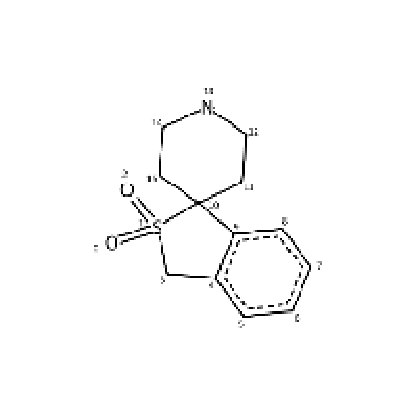 O=S1(=O)Cc2ccccc2C12CC[N]CC2